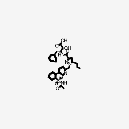 CCCc1cc(C(=O)N[C@H](Cc2ccccc2)[C@@H](O)C(=O)O)nn1Cc1ccc(-c2ccccc2S(=O)(=O)NC(C)=O)cn1